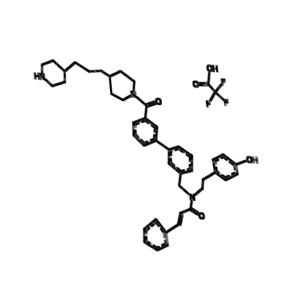 O=C(C=Cc1ccccc1)N(CCc1ccc(O)cc1)Cc1cccc(-c2cccc(C(=O)N3CCC(CCCC4CCNCC4)CC3)c2)c1.O=C(O)C(F)(F)F